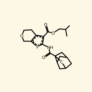 CC(C)COC(=O)c1c(NC(=O)C23CC4CC(CC2C4)C3)sc2c1CCOC2